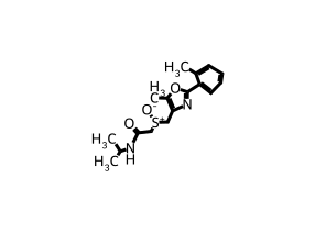 Cc1ccccc1-c1nc(C[S+]([O-])CC(=O)NC(C)C)c(C)o1